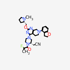 C=C(F)C(=O)N1CCN(c2nc(OC[C@@H]3CCCN3C)nc3c2CCN(c2cccc4c2CCO4)C3)C[C@@H]1CC#N